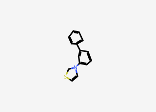 C1=CN(c2cccc(-c3ccccc3)c2)CS1